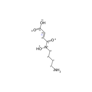 NCCCCN(O)C(=O)/C=C/C(=O)O